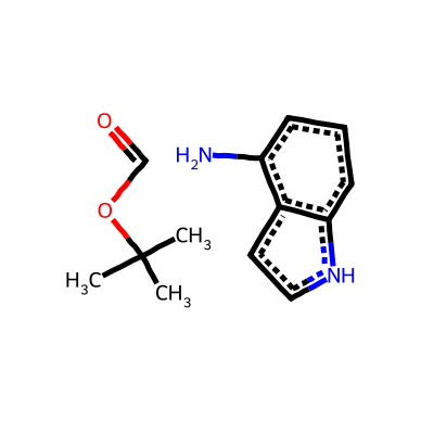 CC(C)(C)OC=O.Nc1cccc2[nH]ccc12